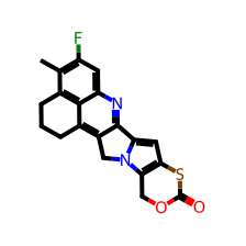 Cc1c(F)cc2nc3c(c4c2c1CCC4)Cn1c-3cc2c1COC(=O)S2